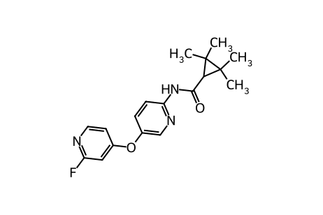 CC1(C)C(C(=O)Nc2ccc(Oc3ccnc(F)c3)cn2)C1(C)C